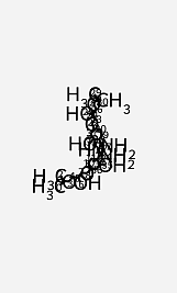 CC(C)OCC(O)COC1CCC(C(N)NC(N)C2CCC(OCC(O)COC(C)C)CC2O)C(O)C1